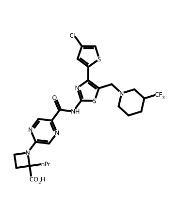 CCCC1(C(=O)O)CCN1c1cnc(C(=O)Nc2nc(-c3cc(Cl)cs3)c(CN3CCCC(C(F)(F)F)C3)s2)cn1